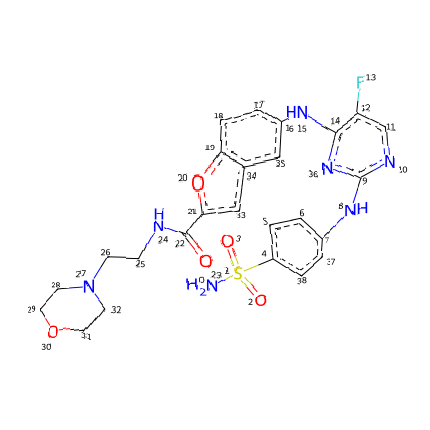 NS(=O)(=O)c1ccc(Nc2ncc(F)c(Nc3ccc4oc(C(=O)NCCN5CCOCC5)cc4c3)n2)cc1